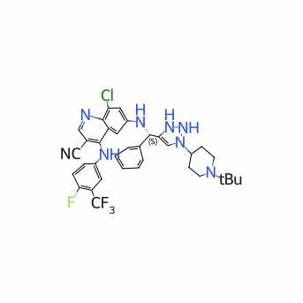 CC(C)(C)N1CCC(N2C=C([C@@H](Nc3cc(Cl)c4ncc(C#N)c(Nc5ccc(F)c(C(F)(F)F)c5)c4c3)c3ccccc3)NN2)CC1